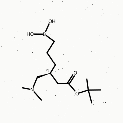 CN(C)C[C@@H](CCCB(O)O)CC(=O)OC(C)(C)C